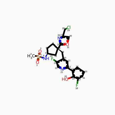 CS(=O)(=O)N[C@H]1CC[C@](Cc2cc(-c3cccc(F)c3O)ncc2F)(c2nc(CCl)co2)C1